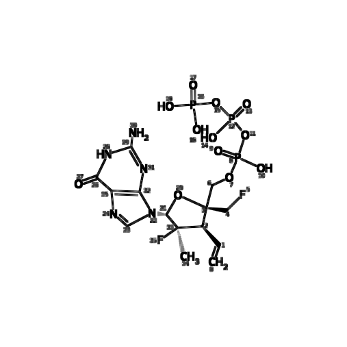 C=C[C@@H]1[C@@](CF)(COP(=O)(O)OP(=O)(O)OP(=O)(O)O)O[C@@H](n2cnc3c(=O)[nH]c(N)nc32)[C@]1(C)F